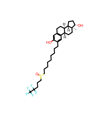 C[C@]12CC[C@@H]3c4cc(CCCCCCCCC[S+]([O-])CCCC(F)(F)C(F)(F)F)c(O)cc4CC[C@H]3[C@@H]1CC[C@@H]2O